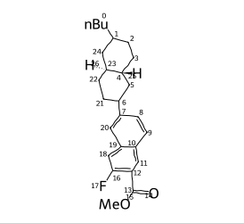 CCCCC1CC[C@@H]2CC(c3ccc4cc(C(=O)OC)c(F)cc4c3)CC[C@H]2C1